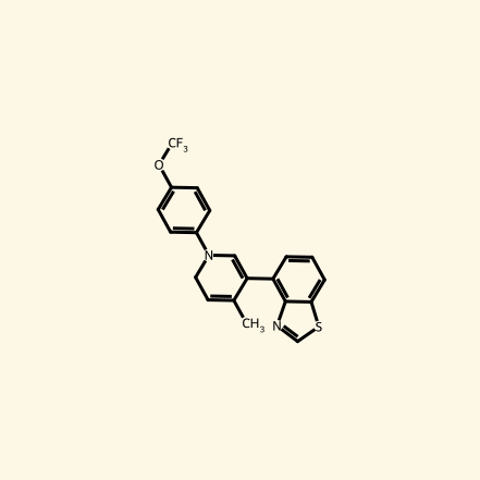 CC1=CCN(c2ccc(OC(F)(F)F)cc2)C=C1c1cccc2scnc12